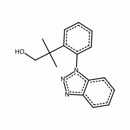 CC(C)(CO)c1ccccc1-n1nnc2ccccc21